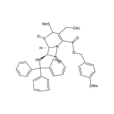 COc1ccc(COC(=O)C2=C(COC(C)=O)C(SC)[S+]([O-])[C@@H]3[C@H](NC(c4ccccc4)(c4ccccc4)c4ccccc4)C(=O)N23)cc1